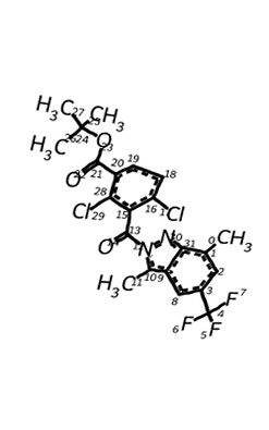 Cc1cc(C(F)(F)F)cc2c(C)n(C(=O)c3c(Cl)ccc(C(=O)OC(C)(C)C)c3Cl)nc12